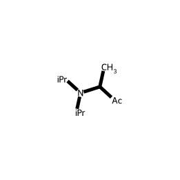 CC(=O)C(C)N(C(C)C)C(C)C